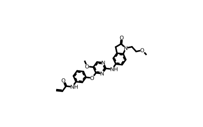 C=CC(=O)Nc1cccc(Oc2nc(Nc3ccc4c(c3)CC(=O)N4CCOC)ncc2OC)c1